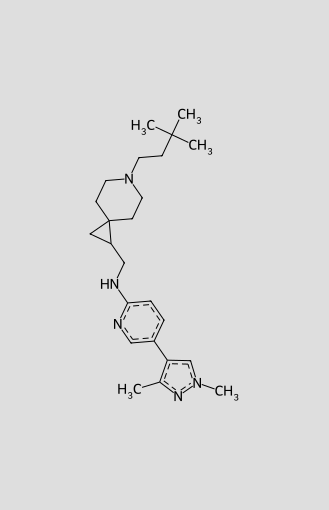 Cc1nn(C)cc1-c1ccc(NCC2CC23CCN(CCC(C)(C)C)CC3)nc1